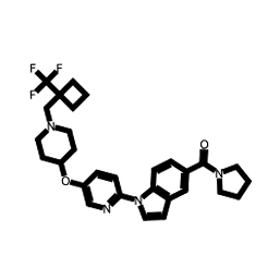 O=C(c1ccc2c(ccn2-c2ccc(OC3CCN(CC4(C(F)(F)F)CCC4)CC3)cn2)c1)N1CCCC1